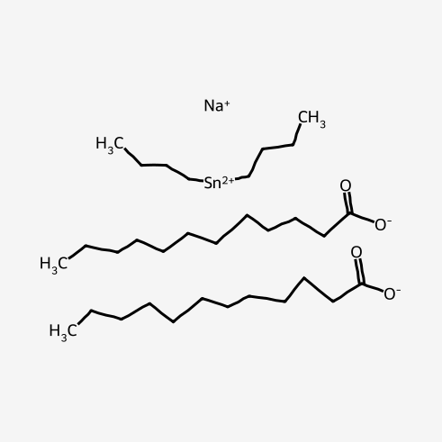 CCCCCCCCCCCC(=O)[O-].CCCCCCCCCCCC(=O)[O-].CCC[CH2][Sn+2][CH2]CCC.[Na+]